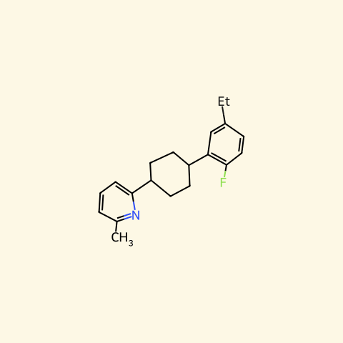 CCc1ccc(F)c(C2CCC(c3cccc(C)n3)CC2)c1